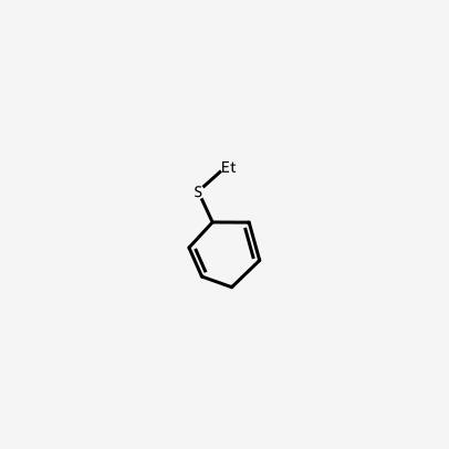 CCSC1C=CCC=C1